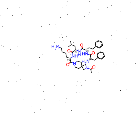 CC(=O)N1CC2(CCN(C(=O)[C@@H](CCCCN)NC(=O)[C@@H](CC(C)C)NC(=O)[C@@H](CCc3ccccc3)NC(=O)[C@H](N)Cc3ccccc3)CC2)C1